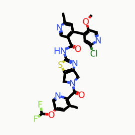 COc1cnc(Cl)cc1-c1cc(C)ncc1C(=O)Nc1nc2c(s1)CN(C(=O)c1ncc(OC(F)F)cc1C)C2